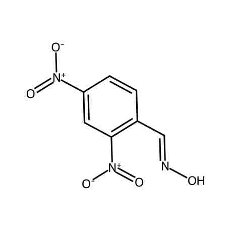 O=[N+]([O-])c1ccc(C=NO)c([N+](=O)[O-])c1